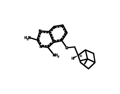 CC1(C)C2CC[C@@H](COc3cccc4nc(N)nc(N)c34)C1C2